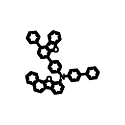 c1ccc(-c2ccc(N(c3ccc(-c4ccc(-c5ccccc5)c5c4oc4ccccc45)cc3)c3cccc4c3oc3c5ccccc5ccc43)cc2)cc1